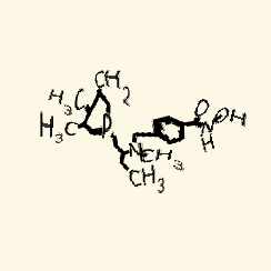 C=C1CP(CCC(CC)N(C)Cc2ccc(C(=O)NO)cc2)CC(C)C1C